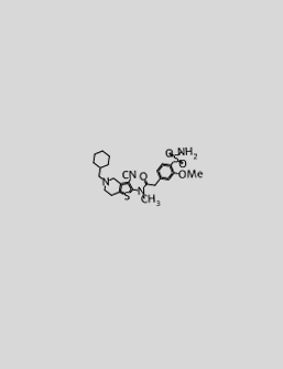 COc1cc(CC(=O)N(C)c2sc3c(c2C#N)CN(CC2CCCCC2)CC3)ccc1S(N)(=O)=O